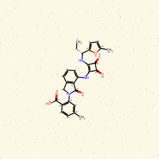 CC[C@@H](Nc1c(Nc2cccc3c2C(=O)N(c2cc(C)ccc2C(=O)O)C3)c(=O)c1=O)c1ccc(C)o1